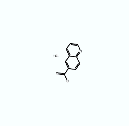 Cl.O=C(Cl)c1ccc2ncccc2c1